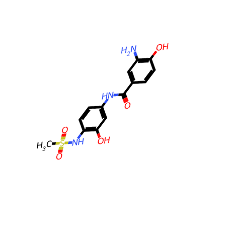 CS(=O)(=O)Nc1ccc(NC(=O)c2ccc(O)c(N)c2)cc1O